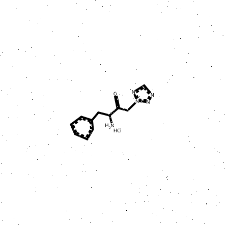 Cl.NC(Cc1ccccc1)C(=O)Cn1ncnn1